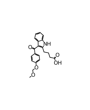 COCOc1ccc(C(=O)c2c(CCCC(=O)O)[nH]c3ccccc23)cc1